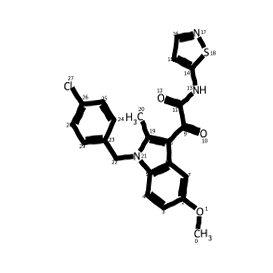 COc1ccc2c(c1)c(C(=O)C(=O)Nc1ccns1)c(C)n2Cc1ccc(Cl)cc1